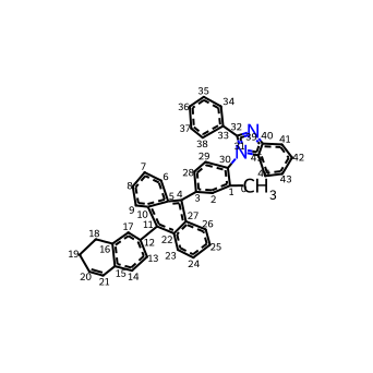 Cc1cc(-c2c3ccccc3c(-c3ccc4c(c3)CCC=C4)c3ccccc23)ccc1-n1c(-c2ccccc2)nc2ccccc21